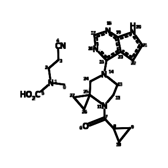 CN(CCC#N)C(=O)O.O=C(C1CC1)N1CCN(c2ncnc3[nH]ccc23)CC12CC2